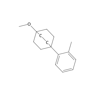 COC12CCC(c3ccccc3C)(CC1)CC2